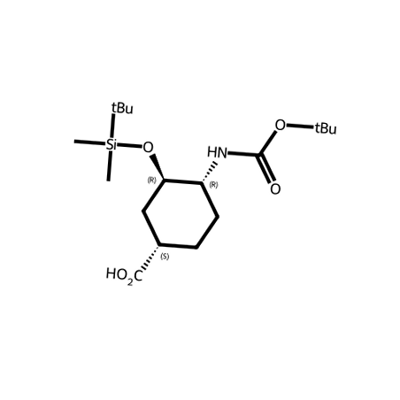 CC(C)(C)OC(=O)N[C@@H]1CC[C@H](C(=O)O)C[C@H]1O[Si](C)(C)C(C)(C)C